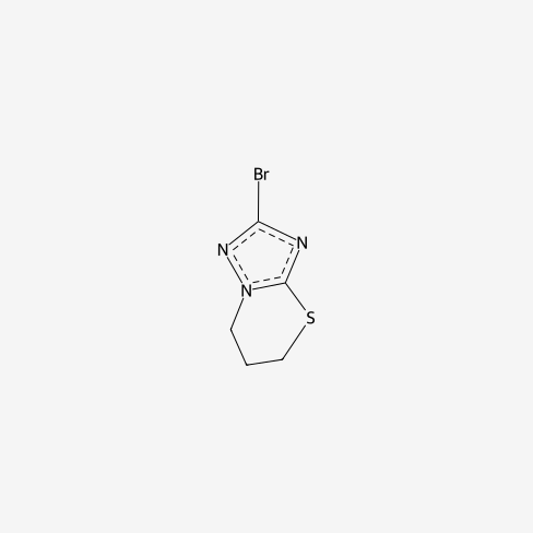 Brc1nc2n(n1)CCCS2